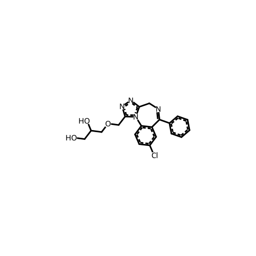 OCC(O)COCc1nnc2n1-c1ccc(Cl)cc1C(c1ccccc1)=NC2